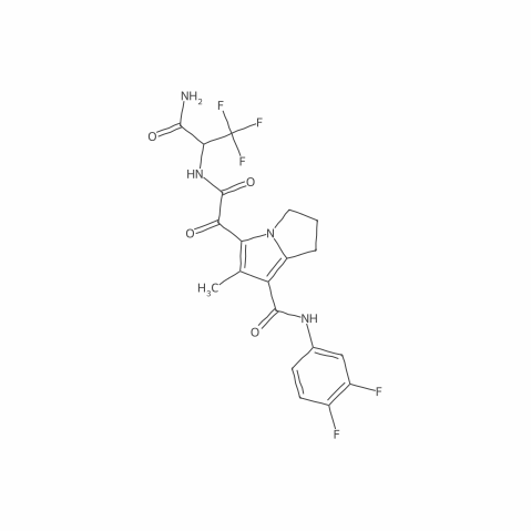 Cc1c(C(=O)Nc2ccc(F)c(F)c2)c2n(c1C(=O)C(=O)NC(C(N)=O)C(F)(F)F)CCC2